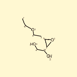 C1CO1.CCOCC.OCCO